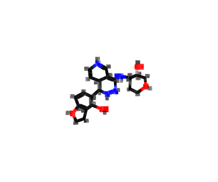 Oc1c(-c2nnc(N[C@@H]3CCOC[C@H]3O)c3cnccc23)ccc2c1CCO2